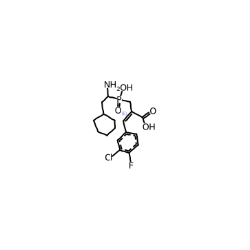 NC(CC1CCCCC1)P(=O)(O)C/C(=C/c1ccc(F)c(Cl)c1)C(=O)O